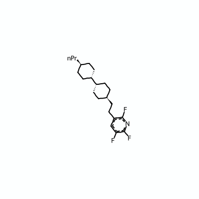 CCC[C@H]1CC[C@H]([C@H]2CC[C@H](CCc3cc(F)c(F)nc3F)CC2)CC1